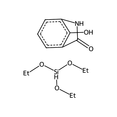 CCO[SiH](OCC)OCC.O=C1Nc2cccc1c2O